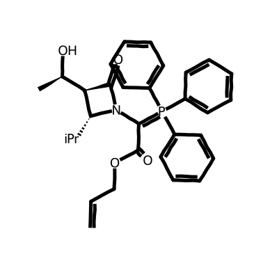 C=CCOC(=O)C(N1C(=O)[C@H]([C@@H](C)O)[C@H]1C(C)C)=P(c1ccccc1)(c1ccccc1)c1ccccc1